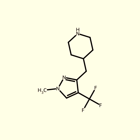 Cn1cc(C(F)(F)F)c(CC2CCNCC2)n1